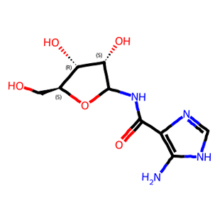 Nc1[nH]cnc1C(=O)NC1O[C@@H](CO)[C@H](O)[C@@H]1O